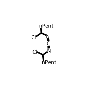 CCCCCC(Cl)N=C=NC(Cl)CCCCC